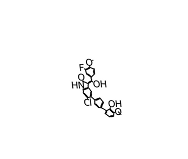 COc1ccc(C(O)=C2C(=O)Nc3cc(Cl)c(-c4ccc(-c5cccc(OC)c5O)cc4)cc32)cc1F